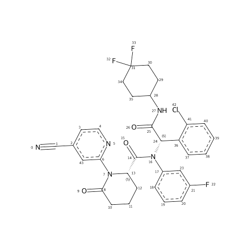 N#Cc1ccnc(N2C(=O)CCC[C@H]2C(=O)N(c2cccc(F)c2)[C@H](C(=O)NC2CCC(F)(F)CC2)c2ccccc2Cl)c1